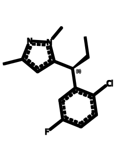 CC[C@@H](c1cc(F)ccc1Cl)c1cc(C)nn1C